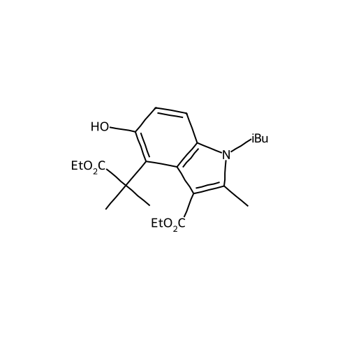 CCOC(=O)c1c(C)n(C(C)CC)c2ccc(O)c(C(C)(C)C(=O)OCC)c12